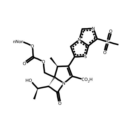 CCCCCCCCCOC(=O)OCC12[C@@H]([C@@H](C)O)C(=O)N1C(C(=O)O)=C(c1cn3cnc(S(C)(=O)=O)c3s1)[C@@H]2C